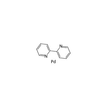 [Pd].c1ccc(-c2ccccn2)nc1